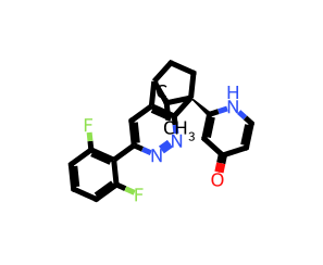 CC12CC13CC[C@]2(c1cc(=O)cc[nH]1)c1nnc(-c2c(F)cccc2F)cc13